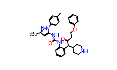 Cc1ccc(-n2nc(C(C)(C)C)cc2NC(=O)Nc2ccccc2C(C(=O)CCOc2ccccc2)C2CCNCC2)cc1